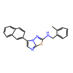 Cc1ccccc1CNc1nn2c(-c3ccc4ccccc4c3)cnc2s1